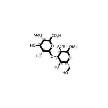 COC1O[C@H](CO)[C@@H](O)[C@H](OC2OC(C(=O)O)[C@@H](OC)[C@H](O)[C@H]2O)[C@H]1NC(C)=O